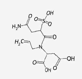 C=CCN(C(=O)C(CC(N)=O)S(=O)(=O)O)C(CC(=O)O)C(=O)O